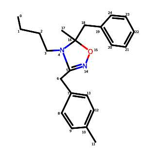 CCCCN1C(Cc2ccc(C)cc2)=NOC1(C)Cc1ccccc1